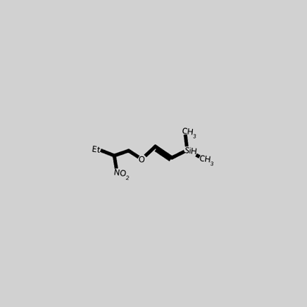 CCC(COC=C[SiH](C)C)[N+](=O)[O-]